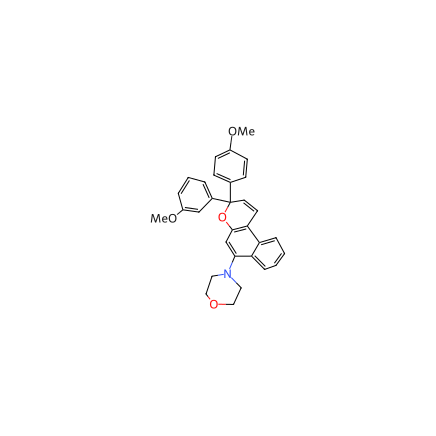 COc1ccc(C2(c3cccc(OC)c3)C=Cc3c(cc(N4CCOCC4)c4ccccc34)O2)cc1